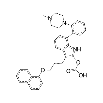 CN1CCN(c2ccccc2-c2cccc3c(CCCOc4cccc5ccccc45)c(OC(=O)O)[nH]c23)CC1